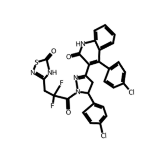 O=C(N1N=C(c2c(-c3ccc(Cl)cc3)c3ccccc3[nH]c2=O)CC1c1ccc(Cl)cc1)C(F)(F)Cc1nsc(=O)[nH]1